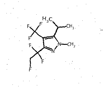 CC(C)c1c(C(F)(F)F)c(C(F)(F)CF)nn1C